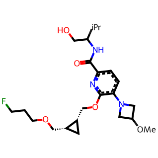 COC1CN(c2ccc(C(=O)NC(CO)C(C)C)nc2OC[C@@H]2C[C@@H]2COCCCF)C1